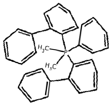 CP(C)(c1ccccc1)(c1ccccc1-c1ccccc1)c1ccccc1-c1ccccc1